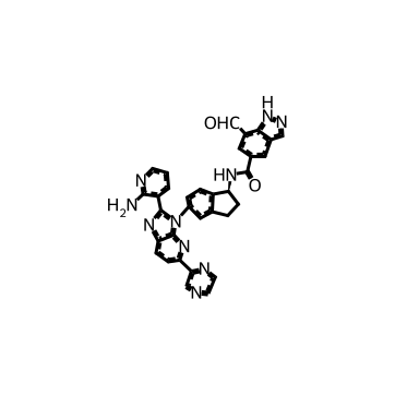 Nc1ncccc1-c1nc2ccc(-c3cnccn3)nc2n1-c1ccc2c(c1)CC[C@@H]2NC(=O)c1cc(C=O)c2[nH]ncc2c1